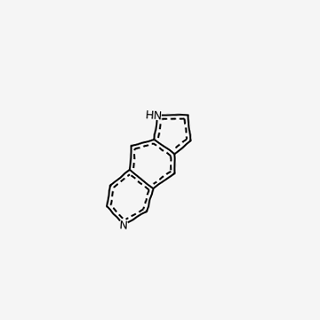 c1cc2cc3[nH]ccc3cc2cn1